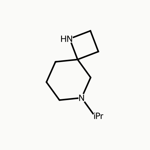 CC(C)N1CCCC2(CCN2)C1